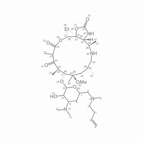 C=CCCN(C)CC1CC(N(C)C)C(O)C(O[C@@H]2[C@@H](C)C(=O)C(C)C(=O)O[C@H](CC)[C@@]3(C)OC(=O)N[C@@H]3[C@@H](C)NC[C@H](C)C[C@@]2(C)OC)O1